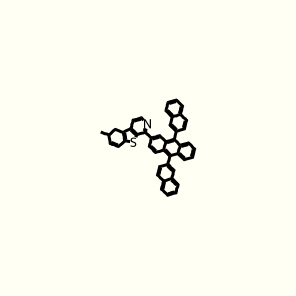 CC1C=Cc2sc3c(-c4ccc5c(-c6ccc7ccccc7c6)c6ccccc6c(-c6ccc7ccccc7c6)c5c4)nccc3c2C1